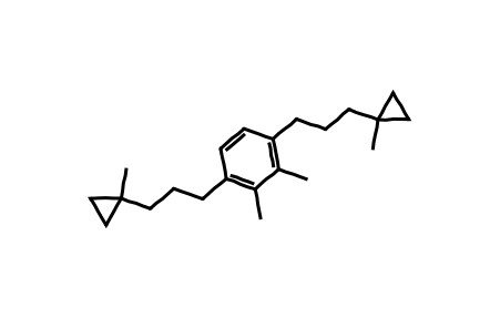 Cc1c(CCCC2(C)CC2)ccc(CCCC2(C)CC2)c1C